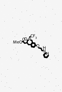 COC(=O)CC1Cc2ccc(OCCCNc3ccccn3)cc2CN(CC(F)(F)F)C1=O